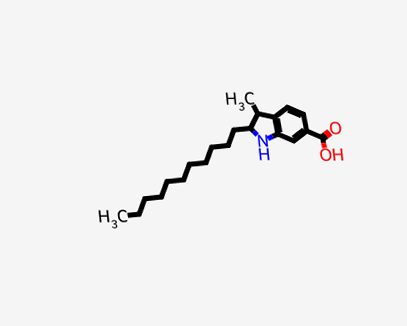 CCCCCCCCCCCC1Nc2cc(C(=O)O)ccc2C1C